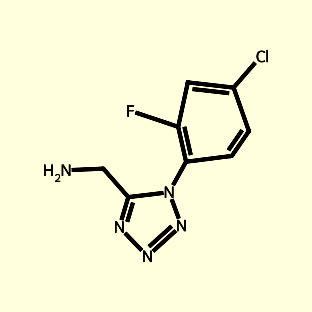 NCc1nnnn1-c1ccc(Cl)cc1F